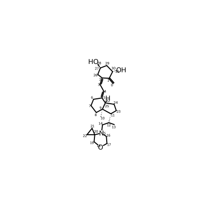 C=C1/C(=C\C=C2/CCC[C@]3(C)[C@@H](C(C)CN4CCOCC45CC5)CC[C@@H]23)C[C@@H](O)C[C@@H]1O